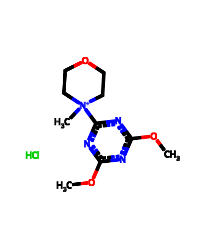 COc1nc(OC)nc([N+]2(C)CCOCC2)n1.Cl